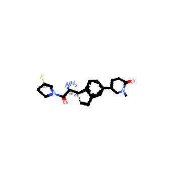 CN1CC(c2ccc3c(c2)CC[C@@H]3[C@H](N)C(=O)N2CC[C@H](F)C2)CCC1=O